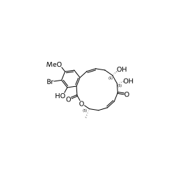 COc1cc2c(c(O)c1Br)C(=O)O[C@@H](C)CC=CC(=O)[C@@H](O)[C@@H](O)CC=C2